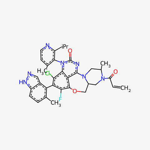 C=CC(=O)N1CC2COc3c(F)c(-c4c(C)ccc5[nH]ncc45)c(Cl)c4c3c(nc(=O)n4-c3c(C)ccnc3C(C)C)N2CC1C